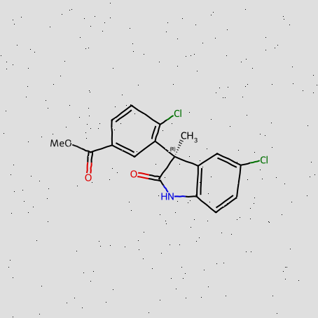 COC(=O)c1ccc(Cl)c([C@]2(C)C(=O)Nc3ccc(Cl)cc32)c1